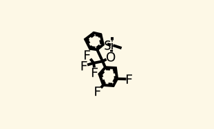 C[Si](C)(C)OC(c1ccccc1)(c1cc(F)cc(F)c1)C(F)(F)F